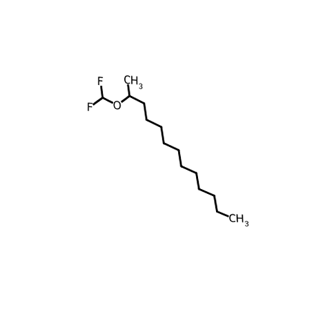 CCCCCCCCCCCC(C)OC(F)F